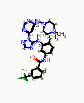 Cc1ccc(NC(=O)c2cc(C(F)(F)F)ccc2F)cc1Nc1ncnn1-c1cc(NN2CCN(C)CC2)ncn1